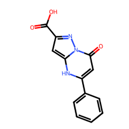 O=C(O)c1cc2[nH]c(-c3ccccc3)cc(=O)n2n1